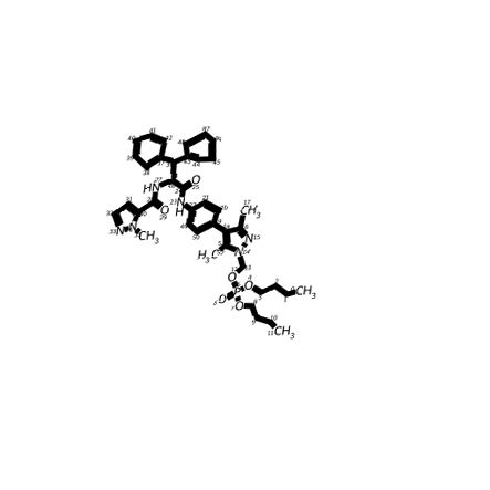 CCCCOP(=O)(OCCCC)OCn1nc(C)c(-c2ccc(NC(=O)C(NC(=O)c3ccnn3C)C(c3ccccc3)c3ccccc3)cc2)c1C